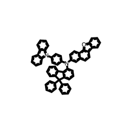 c1ccc(C2(c3ccccc3)c3ccccc3-c3c(N(c4ccc(-n5c6ccccc6c6ccccc65)cc4)c4ccc5c(ccc6c7ccccc7oc56)c4)cccc32)cc1